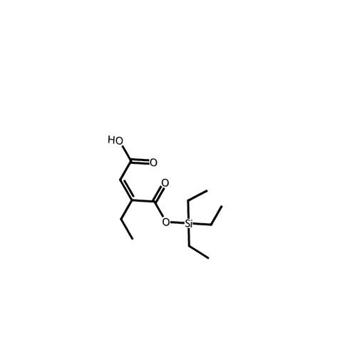 CCC(=CC(=O)O)C(=O)O[Si](CC)(CC)CC